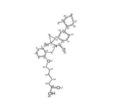 [2H]C1(N(Cc2ccccc2OCCCCCC(=O)O)C(=O)c2ccc(-c3ccccc3C)cc2)CC1